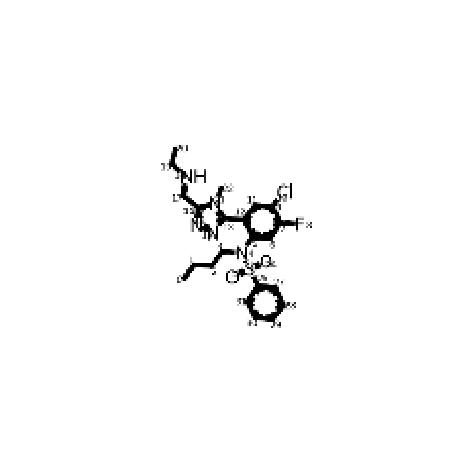 CCCCN(c1cc(F)c(Cl)cc1-c1nnc(CNCC)n1C)S(=O)(=O)c1ccccc1